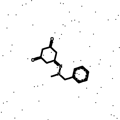 CN(Cc1ccccc1)N=C1CC(=O)CC(=O)C1